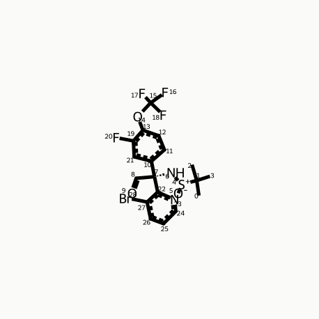 CC(C)(C)[S+]([O-])N[C@](C=O)(c1ccc(OC(F)(F)F)c(F)c1)c1ncccc1Br